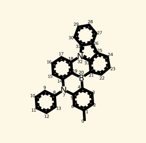 Cc1ccc2c(c1)N(c1ccccc1)c1cccc3c1B2c1cccc2c4ccccc4n-3c12